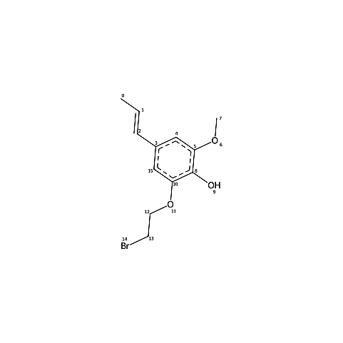 CC=Cc1cc(OC)c(O)c(OCCBr)c1